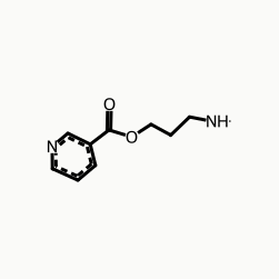 [NH]CCCOC(=O)c1cccnc1